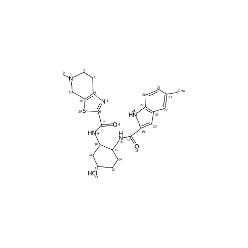 CN1CCc2nc(C(=O)NC3CCCCC3NC(=O)c3cc4cc(F)ccc4[nH]3)sc2C1.Cl